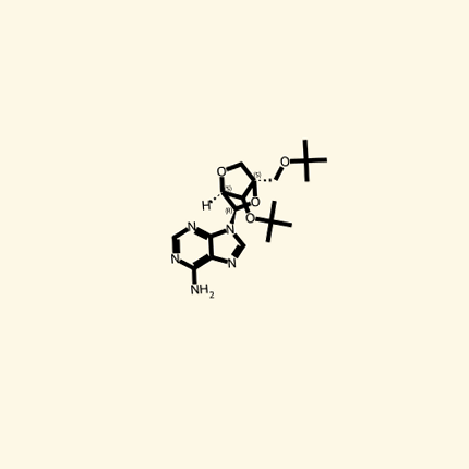 CC(C)(C)OC[C@@]12CO[C@@H](C1OC(C)(C)C)[C@H](n1cnc3c(N)ncnc31)O2